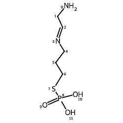 NCC=NCCCSP(=O)(O)O